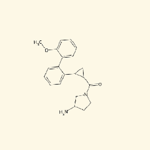 COc1ccccc1-c1ccccc1C1CC1C(=O)N1CCC(N)C1